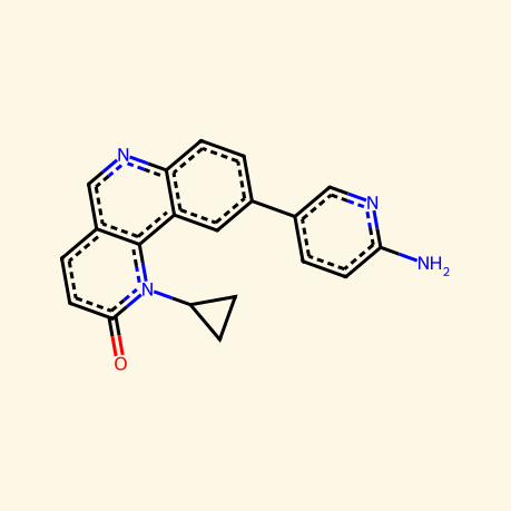 Nc1ccc(-c2ccc3ncc4ccc(=O)n(C5CC5)c4c3c2)cn1